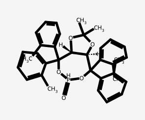 Cc1ccccc1C1(c2ccccc2C)O[PH](=O)OC(c2ccccc2C)(c2ccccc2C)[C@@H]2OC(C)(C)O[C@H]21